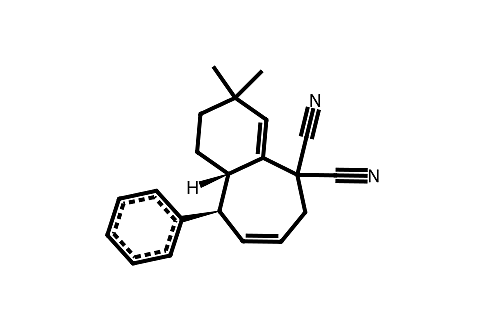 CC1(C)C=C2[C@@H](CC1)[C@H](c1ccccc1)C=CCC2(C#N)C#N